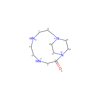 O=C1CNCCNCCN2CCN1CC2